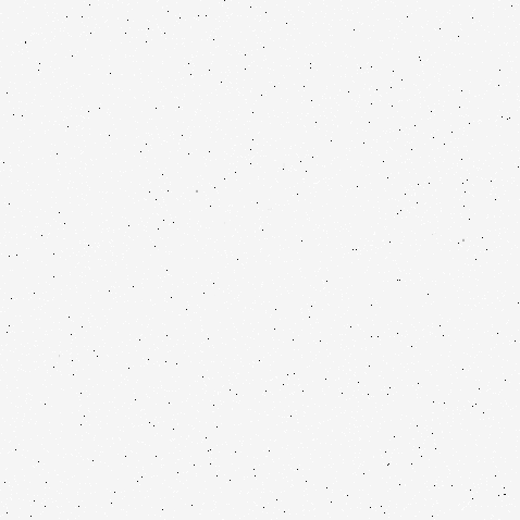 CCCCCCCCCCCCCCCCCC(=O)O.O=C(OC(=O)C(O)CO)C(O)CO